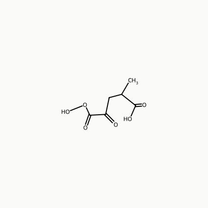 CC(CC(=O)C(=O)OO)C(=O)O